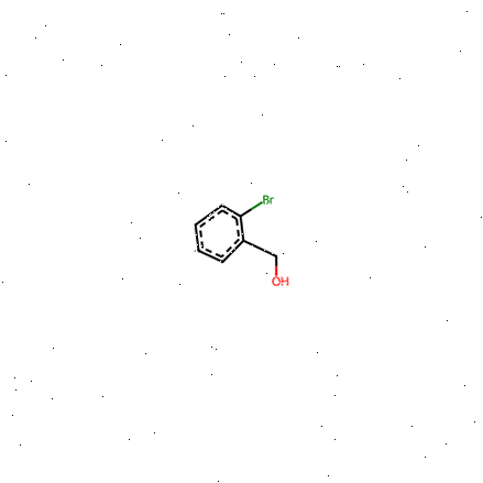 OCc1c[c]ccc1Br